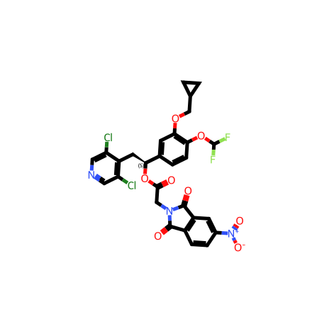 O=C(CN1C(=O)c2ccc([N+](=O)[O-])cc2C1=O)O[C@@H](Cc1c(Cl)cncc1Cl)c1ccc(OC(F)F)c(OCC2CC2)c1